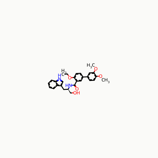 CCOc1ccc(-c2ccc(OC)c(OC)c2)cc1C(=O)N[C@@H](CO)Cc1c[nH]c2ccccc12